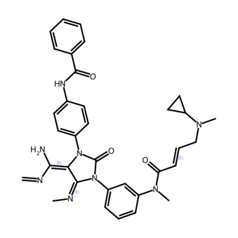 C=N/C(N)=C1\C(=N/C)N(c2cccc(N(C)C(=O)/C=C/CN(C)C3CC3)c2)C(=O)N1c1ccc(NC(=O)c2ccccc2)cc1